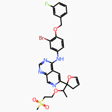 CC(OCCS(C)(=O)=O)C1(c2cc3c(Nc4ccc(OCc5cccc(F)c5)c(Br)c4)ncnc3cn2)CC=CO1